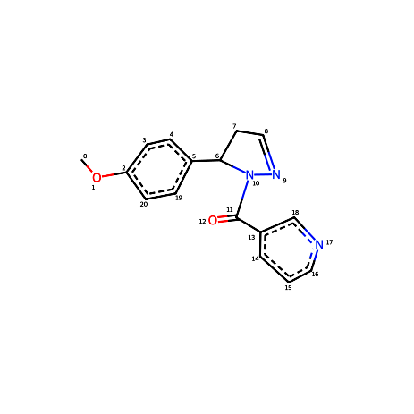 COc1ccc(C2CC=NN2C(=O)c2cccnc2)cc1